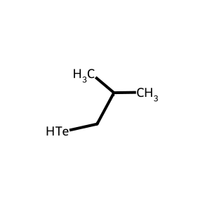 C[C](C)C[TeH]